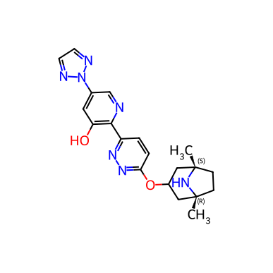 C[C@]12CC[C@](C)(CC(Oc3ccc(-c4ncc(-n5nccn5)cc4O)nn3)C1)N2